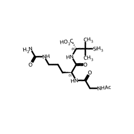 CC(=O)NCC(=O)N[C@@H](CCCNC(N)=O)C(=O)N[C@H](C(=O)O)C(C)(C)[SiH3]